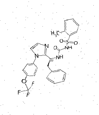 Cc1ccccc1S(=O)(=O)NC(=O)N[C@@H](Cc1ccccc1)c1nccn1-c1ccc(OC(F)(F)F)cc1